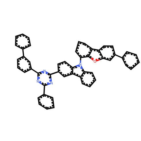 c1ccc(-c2cccc(-c3nc(-c4ccccc4)nc(-c4ccc5c(c4)c4ccccc4n5-c4cccc5c4oc4cc(-c6ccccc6)ccc45)n3)c2)cc1